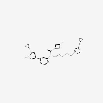 Cn1nc(-c2cccc(N(CCCCCc3nc(C4CC4)no3)C(=O)C34CC(F)(C3)C4)c2)cc1C1CC1